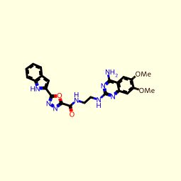 COc1cc2nc(NCCNC(=O)c3nnc(-c4cc5ccccc5[nH]4)o3)nc(N)c2cc1OC